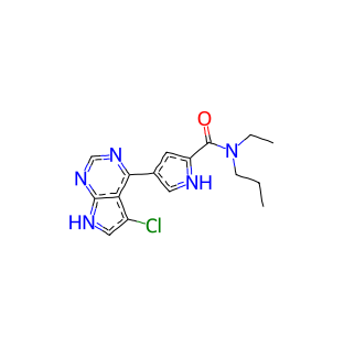 CCCN(CC)C(=O)c1cc(-c2ncnc3[nH]cc(Cl)c23)c[nH]1